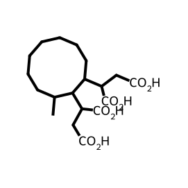 CC1CCCCCCCC(C(CC(=O)O)C(=O)O)C1C(CC(=O)O)C(=O)O